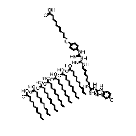 CCCCCCCCCC(=O)O.CCCCCCCCCC(=O)O.CCCCCCCCCC(=O)O.CCCCCCCCCC(=O)O.CCCCCCCCCC(=O)O.CCCCCCCCCC(=O)O.CCCCCCCCCC(=O)O.CCCCCCCCCC(=O)O.N=C(NCCCCCCNC(=N)NC(=N)Nc1ccc(Cl)cc1)NC(=N)Nc1ccc(Cl)cc1